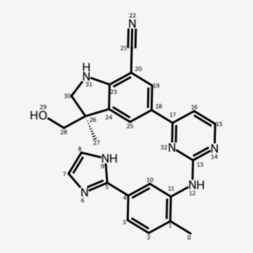 Cc1ccc(-c2ncc[nH]2)cc1Nc1nccc(-c2cc(C#N)c3c(c2)[C@@](C)(CO)CN3)n1